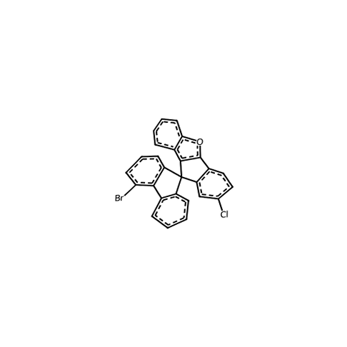 Clc1ccc2c(c1)C1(c3ccccc3-c3c(Br)cccc31)c1c-2oc2ccccc12